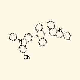 N#Cc1ccc2c(c1)c1cc(-c3c4ccccc4c(-c4cc5cc6ccccc6nc5c5ccccc45)c4ccccc34)ccc1n2-c1ccccc1